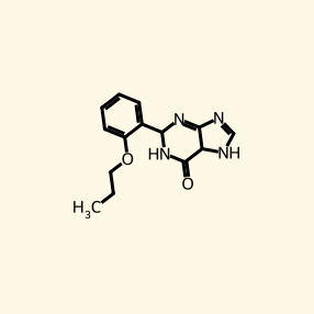 CCCOc1ccccc1C1N=C2N=CNC2C(=O)N1